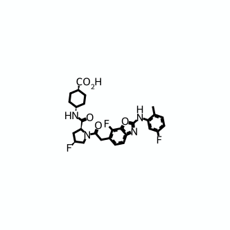 Cc1ccc(F)cc1Nc1nc2ccc(CC(=O)N3C[C@@H](F)C[C@H]3C(=O)N[C@H]3CC[C@H](C(=O)O)CC3)c(F)c2o1